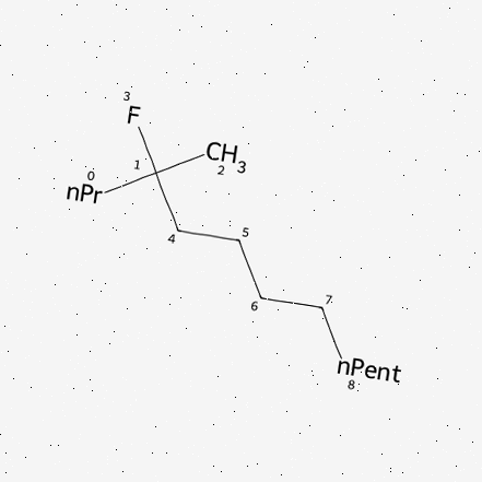 [CH2]CCC(C)(F)CCCCCCCCC